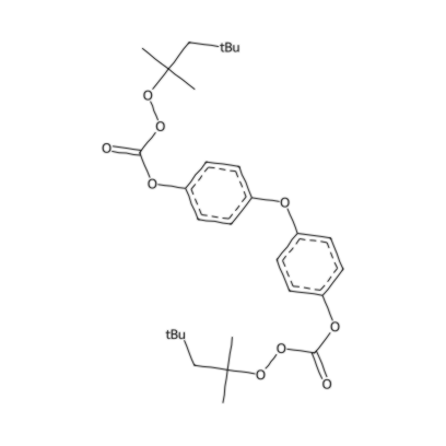 CC(C)(C)CC(C)(C)OOC(=O)Oc1ccc(Oc2ccc(OC(=O)OOC(C)(C)CC(C)(C)C)cc2)cc1